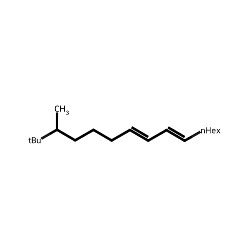 CCCCCCC=CC=CCCCC(C)C(C)(C)C